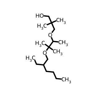 CCCCC(CC)COC(C)(C)C(C)OCC(C)(C)CO